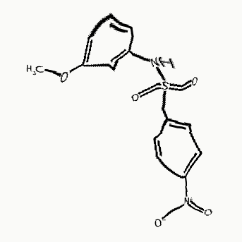 COc1cccc(NS(=O)(=O)c2ccc([N+](=O)[O-])cc2)c1